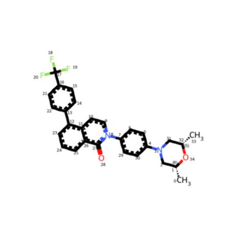 C[C@@H]1CN(c2ccc(-n3ccc4c(-c5ccc(C(F)(F)F)cc5)cccc4c3=O)cc2)C[C@H](C)O1